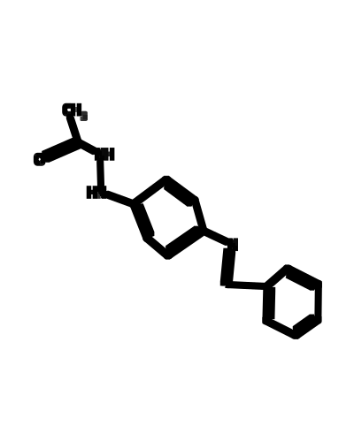 CC(=O)NNc1ccc(N=Cc2ccccc2)cc1